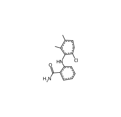 Cc1ccc(Cl)c(Nc2ccccc2C(N)=O)c1C